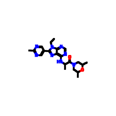 CCn1c(-c2cnc(C)nc2)nc2c(NC(C)C(=O)N3CC(C)OC(C)C3)ncnc21